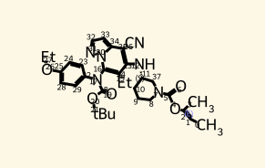 C/C=C(\C)OC(=O)N1CCC[C@H](Nc2c(CC)c(N(C(=O)OC(C)(C)C)c3ccc(OCC)cc3)n3nccc3c2C#N)C1